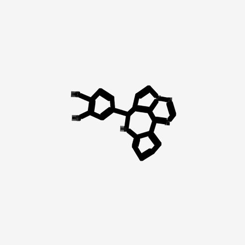 Oc1ccc(C2Nc3ccccc3-c3ncnn4ccc2c34)cc1O